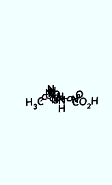 Cc1ccc(-n2cnnn2)c(-c2cc3n(c(=O)c2)[C@H](c2ncc(-c4ccc(N(C(=O)O)C5COC5)cc4)[nH]2)CC3)c1